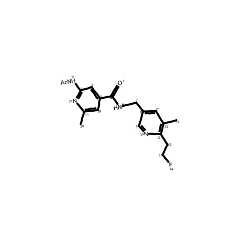 CC(=O)Nc1cc(C(=O)NCc2cnc(CCF)c(C)c2)cc(C)n1